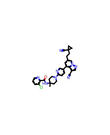 CC1(NC(=O)c2ncccc2Cl)CCN(c2ccc(-c3cc(CCC4(C#N)CC4)cn4ncc(C#N)c34)cn2)CC1